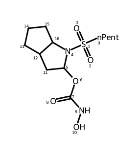 CCCCCS(=O)(=O)N1C(OC(=O)NO)CC2CCCC21